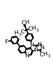 C#CC(C)(C)c1ccc(-n2c3c4cc(-c5cccc(F)c5)ccc4ncc3n3c(C)nnc23)cc1